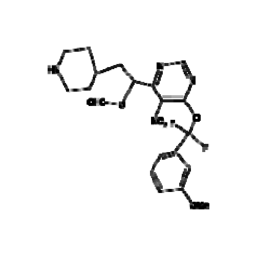 COc1cccc(C(F)(F)Oc2ncnc(C(CC3CCNCC3)OC=O)c2[N+](=O)[O-])c1